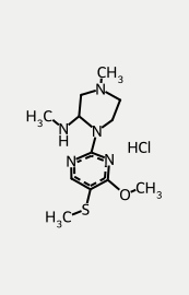 CNC1CN(C)CCN1c1ncc(SC)c(OC)n1.Cl